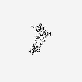 CCCS(=O)(=O)NCC(C)(O)c1ccc(-c2ccc(S(N)(=O)=O)cc2)cc1